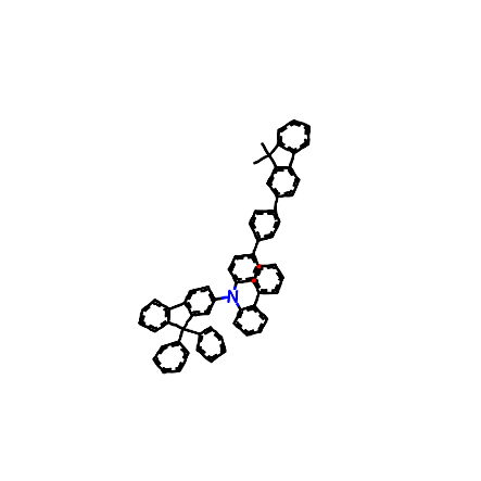 CC1(C)c2ccccc2-c2ccc(-c3ccc(-c4ccc(N(c5ccc6c(c5)C(c5ccccc5)(c5ccccc5)c5ccccc5-6)c5ccccc5-c5ccccc5)cc4)cc3)cc21